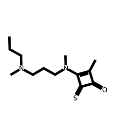 CCCN(C)CCCN(C)c1c(C)c(=O)c1=S